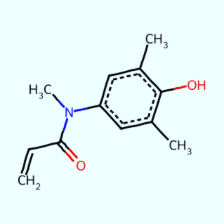 C=CC(=O)N(C)c1cc(C)c(O)c(C)c1